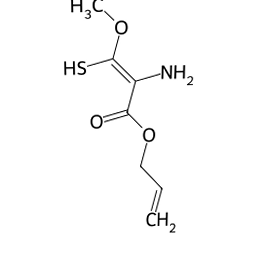 C=CCOC(=O)/C(N)=C(\S)OC